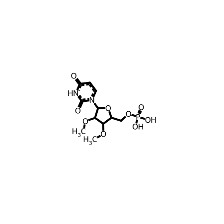 COC1C(COP(=O)(O)O)OC(n2ccc(=O)[nH]c2=O)C1OC